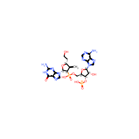 C=C1[C@@H](P(=O)(O)OC[C@H]2O[C@@H](n3cnc4c(N)ncnc43)[C@H](O)[C@@H]2O[PH](=O)O)[C@H](n2cnc3c(=O)[nH]c(N)nc32)O[C@@H]1CCO